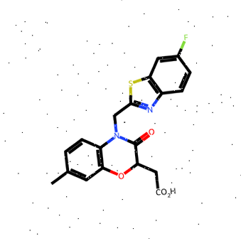 Cc1ccc2c(c1)OC(CC(=O)O)C(=O)N2Cc1nc2ccc(F)cc2s1